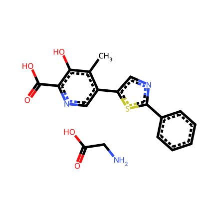 Cc1c(-c2cnc(-c3ccccc3)s2)cnc(C(=O)O)c1O.NCC(=O)O